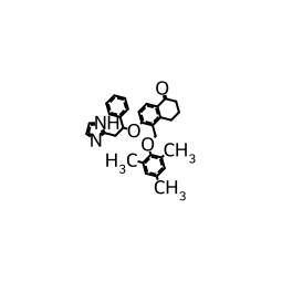 Cc1cc(C)c(OCc2c(OC(Cc3ncc[nH]3)c3ccccc3)ccc3c2CCCC3=O)c(C)c1